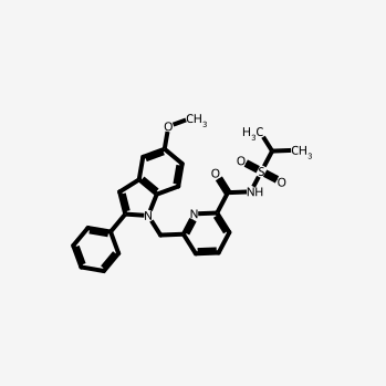 COc1ccc2c(c1)cc(-c1ccccc1)n2Cc1cccc(C(=O)NS(=O)(=O)C(C)C)n1